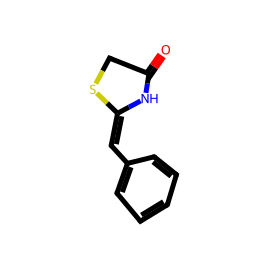 O=C1CSC(=Cc2ccccc2)N1